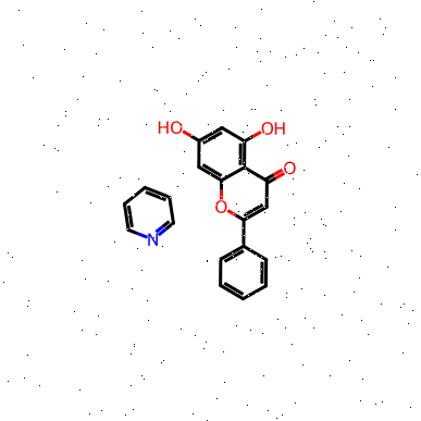 O=c1cc(-c2ccccc2)oc2cc(O)cc(O)c12.c1ccncc1